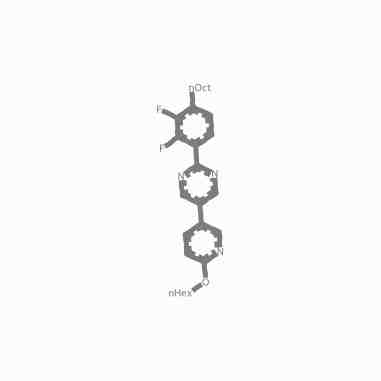 CCCCCCCCc1ccc(-c2ncc(-c3ccc(OCCCCCC)nc3)cn2)c(F)c1F